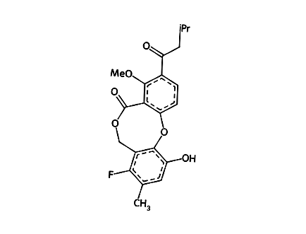 COc1c(C(=O)CC(C)C)ccc2c1C(=O)OCc1c(F)c(C)cc(O)c1O2